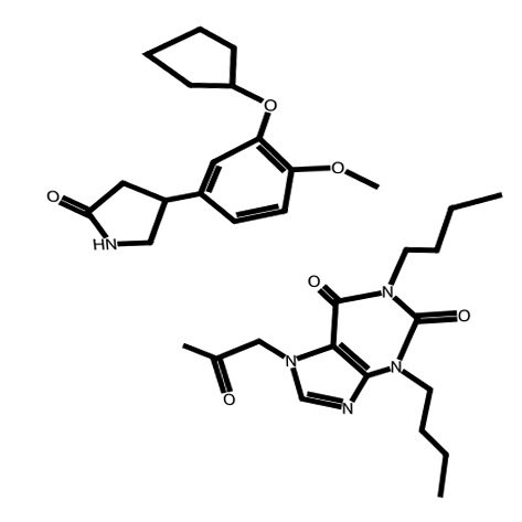 CCCCn1c(=O)c2c(ncn2CC(C)=O)n(CCCC)c1=O.COc1ccc(C2CNC(=O)C2)cc1OC1CCCC1